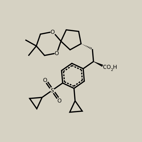 CC1(C)COC2(CC[C@H](C[C@@H](C(=O)O)c3ccc(S(=O)(=O)C4CC4)c(C4CC4)c3)C2)OC1